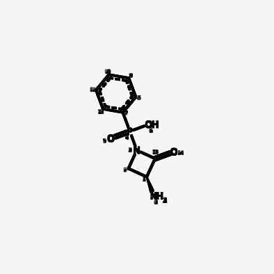 N[C@H]1CN(P(=O)(O)c2ccccc2)C1=O